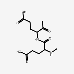 CNC(CCC(=O)O)C(=O)NC(CCC(=O)O)C(C)=O